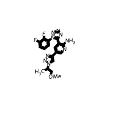 COCC(C)n1cc(-c2cnc(N)c(-c3nnnn3-c3cccc(F)c3F)c2)nn1